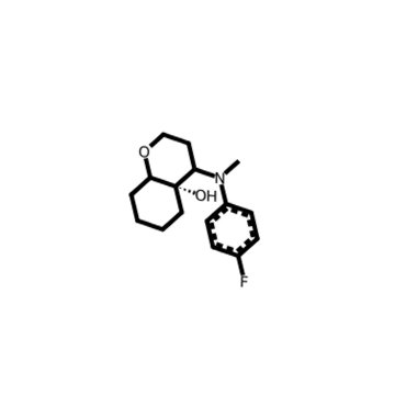 CN(c1ccc(F)cc1)C1CCOC2CCCC[C@@]21O